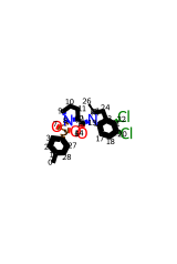 Cc1ccc(S(=O)(=O)N2CCC[C@H]2C(=O)N2c3ccc(Cl)c(Cl)c3C[C@@H]2C)cc1